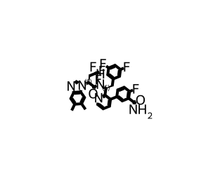 Cc1cc2ncn([C@@H](CC(F)(F)F)C(=O)N[C@@H](Cc3cc(F)cc(F)c3)c3ncccc3-c3ccc(F)c(C(N)=O)c3)c2cc1C